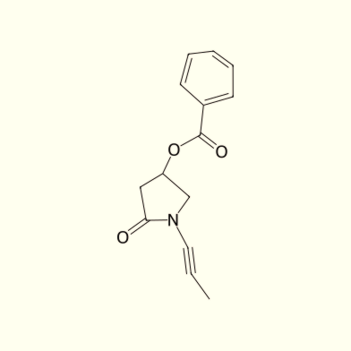 CC#CN1CC(OC(=O)c2ccccc2)CC1=O